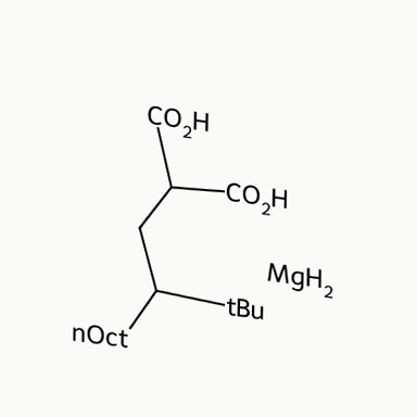 CCCCCCCCC(CC(C(=O)O)C(=O)O)C(C)(C)C.[MgH2]